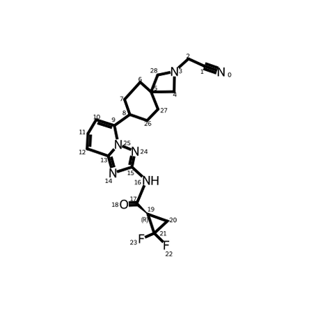 N#CCN1CC2(CCC(c3cccc4nc(NC(=O)[C@H]5CC5(F)F)nn34)CC2)C1